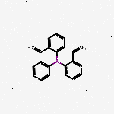 C=Cc1ccccc1P(c1ccccc1)c1ccccc1C=C